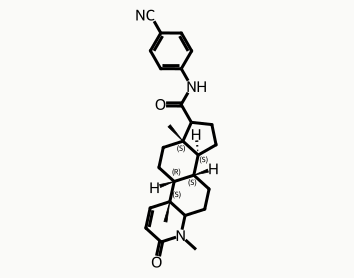 CN1C(=O)C=C[C@@]2(C)C1CC[C@@H]1[C@H]2CC[C@]2(C)C(C(=O)Nc3ccc(C#N)cc3)CC[C@@H]12